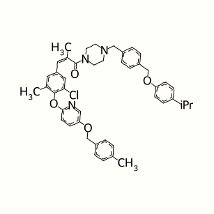 CC(=Cc1cc(C)c(Oc2ccc(OCc3ccc(C)cc3)cn2)c(Cl)c1)C(=O)N1CCN(Cc2ccc(COc3ccc(C(C)C)cc3)cc2)CC1